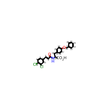 O=C(C=Cc1ccc(Cl)c(Cl)c1)NC(Cc1ccc(OCc2ccccc2)cc1)C(=O)O